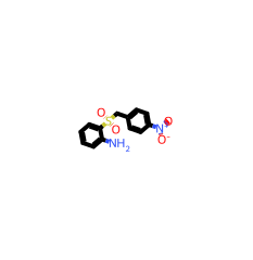 Nc1ccccc1S(=O)(=O)Cc1ccc([N+](=O)[O-])cc1